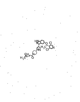 CC(Oc1ccc2[nH]nc(-c3cnn(C4CCN(C(=O)CCN(C)C)CC4)c3)c2c1)c1c(Cl)cncc1Cl